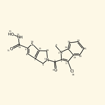 Cn1c(C(=O)N2Cc3cc(C(=O)NO)sc3C2)c(Cl)c2ccccc21